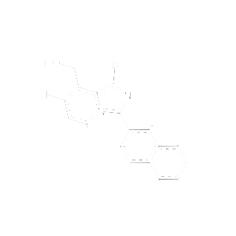 OCc1c(Cl)ccn2c(-c3ccc4ccccc4c3)nc(Br)c12